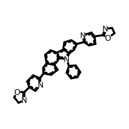 c1ccc(-n2c3cc(-c4ccc(C5=NCCO5)cn4)ccc3c3ccc4cc(-c5ccc(C6=NCCO6)cn5)ccc4c32)cc1